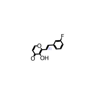 O=c1ccoc(/C=C/c2cccc(F)c2)c1O